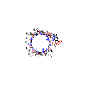 CC[C@@H]1NC(=O)[C@H]([C@H](O)[C@H](C)Cc2nc3cc(C(=O)O)ccc3n2C)N(C)C(=O)[C@H](C(C)C)N(C)C(=O)[C@H](CC(C)C)N(C)C(=O)[C@H](CC(C)C)N(C)C(=O)[C@@H](C)NC(=O)[C@H](C)NC(=O)[C@H](CC(C)C)N(C)C(=O)[C@H](C(C)C)NC(=O)[C@H](CC(C)C)N(C)C(=O)CN(C)C1=O